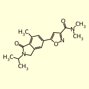 Cc1cc(-c2cc(C(=O)N(C)C)no2)cc2c1C(=O)N(C(C)C)C2